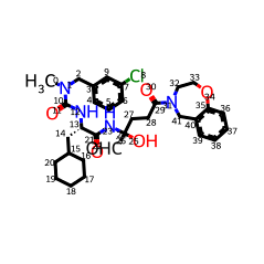 CN(Cc1cccc(Cl)c1)C(=O)N[C@@H](CC1CCCCC1)C(=O)NC(O)(C=O)CCC(=O)N1CCOc2ccccc2C1